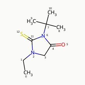 CCN1CC(=O)N(C(C)(C)C)C1=S